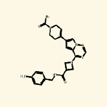 Cc1ccc(CNC(=O)C2CN(c3ncnn4cc(C5=CCN(C(=O)C(C)(C)C)CC5)cc34)C2)cc1